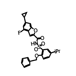 CC(C)c1ccc(OCc2ccccc2)c(S(=O)(=O)NC(=O)c2cc3c(F)cc(C4CC4)cc3o2)c1